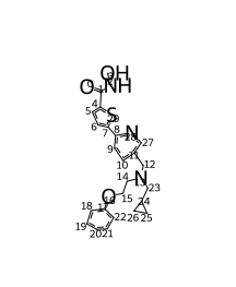 O=C(NO)c1ccc(-c2ccc(CN(CCOc3ccccc3)CC3CC3)cn2)s1